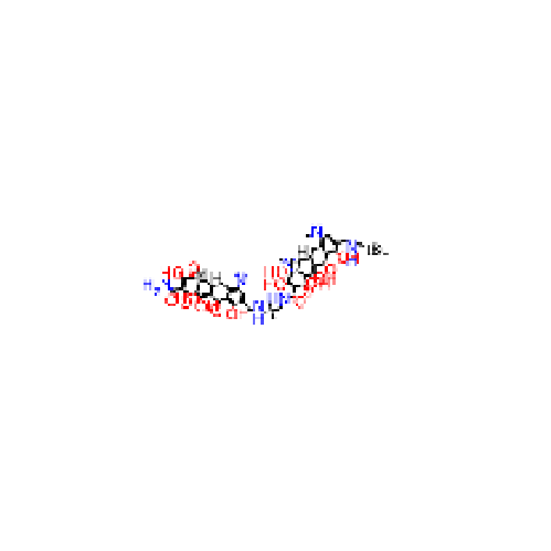 CN(C)c1cc(CNCC(C)(C)C)c(O)c2c1C[C@H]1C[C@@H]3[C@@](O)(C(=O)C(C(=O)NCC(C)(C)CNCc4cc(N(C)C)c5c(c4O)C(=O)C4=C(O)[C@]6(O)C(=O)C(C(N)=O)=C(O)C(=O)[C@@H]6C[C@@H]4C5)=C(O)[C@@]3(O)N(C)C)C(O)=C1C2=O